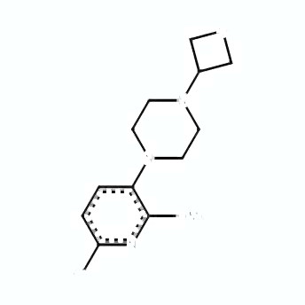 COc1nc(Cl)ccc1N1CCN(C2COC2)CC1